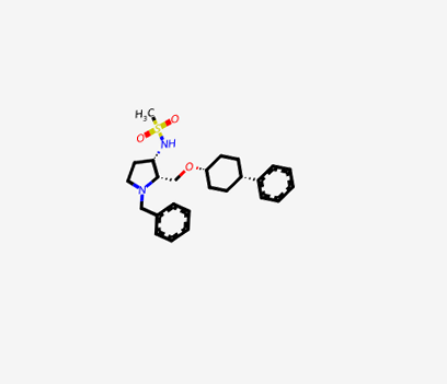 CS(=O)(=O)N[C@H]1CCN(Cc2ccccc2)[C@H]1CO[C@H]1CC[C@@H](c2ccccc2)CC1